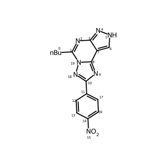 CCCCc1nc2n[nH]cc2c2nc(-c3ccc([N+](=O)[O-])cc3)nn12